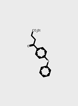 CCOC(=O)CCC(=O)c1ccc(Sc2ccccc2)cc1